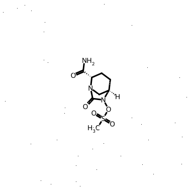 CS(=O)(=O)ON1C(=O)N2C[C@H]1CC[C@H]2C(N)=O